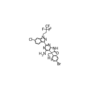 CC1(c2ccc(Br)cc2)C(=O)Nc2nc(-c3nn(CCC(F)(F)C(F)(F)F)c4cc(Cl)ccc34)nc(N)c21